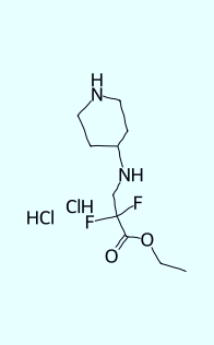 CCOC(=O)C(F)(F)CNC1CCNCC1.Cl.Cl